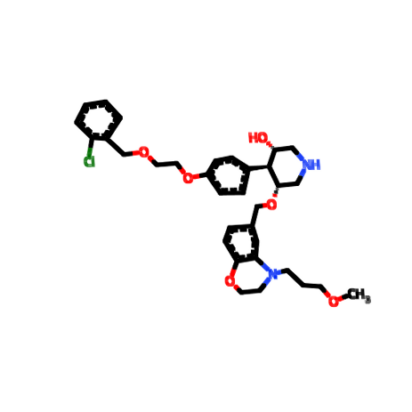 COCCCN1CCOc2ccc(CO[C@H]3CNC[C@@H](O)[C@@H]3c3ccc(OCCOCc4ccccc4Cl)cc3)cc21